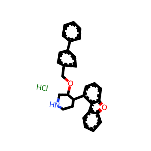 Cl.c1ccc(-c2ccc(COC3CNCCC3c3cccc4oc5ccccc5c34)cc2)cc1